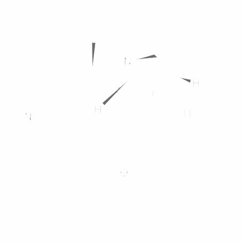 C=C[C@H]1C[N@]2CC[C@H]1C[C@@H]2[C@H](C)c1ccnc2ccc(OC)cc12